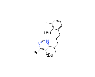 Cc1cccc(CCCC(C)c2ncnc(C(C)C)c2C(C)(C)C)c1C(C)(C)C